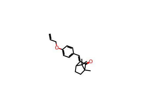 C=CCOc1ccc(/C=C2/C(=O)C3(C)CCC2C3(C)C)cc1